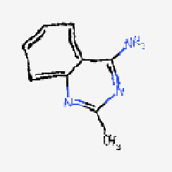 Cc1nc(N)c2ccccc2n1